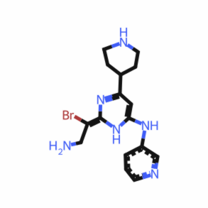 NC/C(Br)=C1/N=C(C2CCNCC2)C=C(Nc2cccnc2)N1